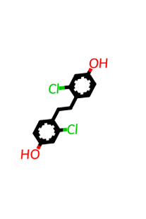 Oc1ccc(CCc2ccc(O)cc2Cl)c(Cl)c1